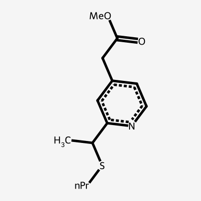 CCCSC(C)c1cc(CC(=O)OC)ccn1